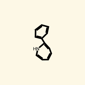 [c]1cccc(C2=CC=CC=CN2)c1